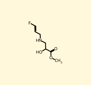 COC(=O)C(O)CNCC=CF